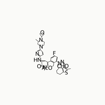 CC(=O)OCc1c(-c2cc(Nc3ccc(N4CCN(C5COC5)C(C)C4)cn3)c(=O)n(C)c2)cc(F)cc1N(C=O)/N=C\c1c(C)sc2c1CCCC2